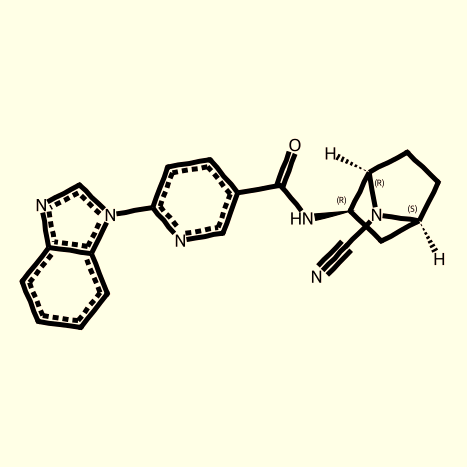 N#CN1[C@H]2CC[C@@H]1[C@H](NC(=O)c1ccc(-n3cnc4ccccc43)nc1)C2